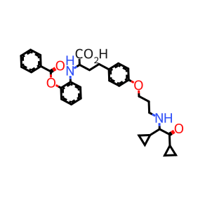 O=C(Oc1ccccc1NC(CCc1ccc(OCCCNC(C(=O)C2CC2)C2CC2)cc1)C(=O)O)c1ccccc1